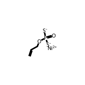 C=CCOP(=O)([S-])[S-].[Ni+2]